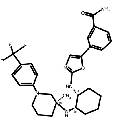 C[C@]1(N[C@@H]2CCCC[C@H]2Nc2ncc(-c3cccc(C(N)=O)c3)o2)CCCN(c2ccc(C(F)(F)F)cc2)C1